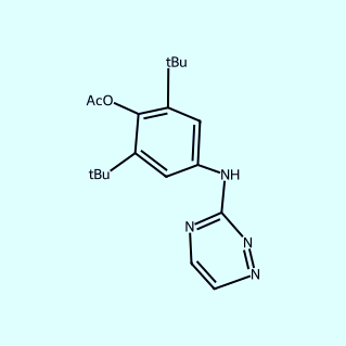 CC(=O)Oc1c(C(C)(C)C)cc(Nc2nccnn2)cc1C(C)(C)C